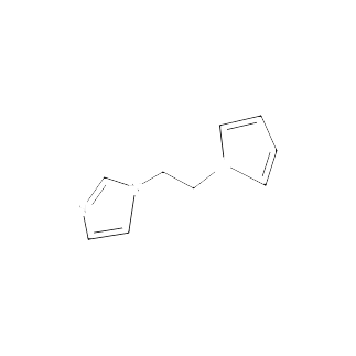 C1=C[SH](CCn2ccnc2)C=C1